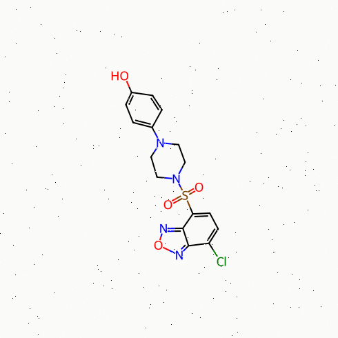 O=S(=O)(c1ccc(Cl)c2nonc12)N1CCN(c2ccc(O)cc2)CC1